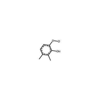 Cc1ccc(OCl)c(O)c1C